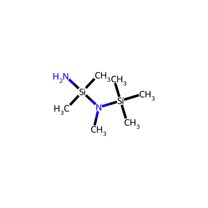 CN([Si](C)(C)C)[Si](C)(C)N